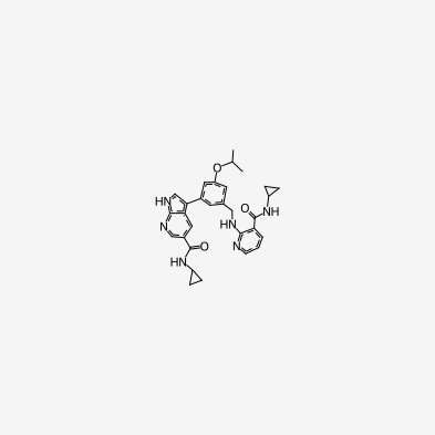 CC(C)Oc1cc(CNc2ncccc2C(=O)NC2CC2)cc(-c2c[nH]c3ncc(C(=O)NC4CC4)cc23)c1